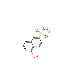 NS(=O)(=O)c1ccc2c(O)cccc2c1